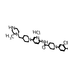 C[C@H]1CNCCN1CC1CCN(c2ccc(NC(=O)C3CCN(c4ccc(C#N)c(C(F)(F)F)c4)CC3)nc2)CC1.Cl